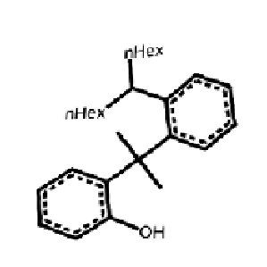 CCCCCCC(CCCCCC)c1ccccc1C(C)(C)c1ccccc1O